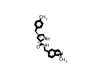 [2H]N1C[C@H](Cc2ccc(C)cc2)C[C@H]1C(=O)NCc1ccc2c(cnn2C)c1